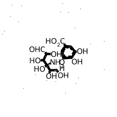 N[C@](O)(C(O)CO)C(O)C(O)C=O.O=C(O)c1cc(O)c(O)c(O)c1